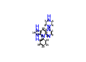 C1=CN(N2CCNCC2)C2=CC3=C(NCN3)N(c3ccccc3)C2=N1